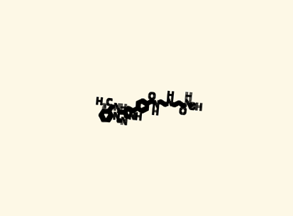 CC(Nc1ncnc2[nH]c(-c3ccc(C(=O)NCCNCCC(=O)NO)cc3)cc12)c1ccccc1